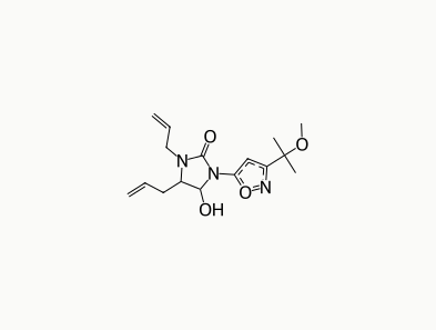 C=CCC1C(O)N(c2cc(C(C)(C)OC)no2)C(=O)N1CC=C